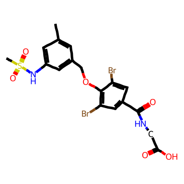 Cc1cc(COc2c(Br)cc(C(=O)NCC(=O)O)cc2Br)cc(NS(C)(=O)=O)c1